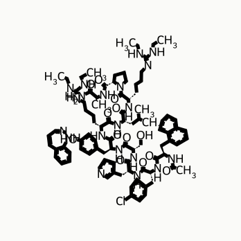 C1=Cc2ccccc2NN=C1.CCNC(=NCCCC[C@H](NC(=O)[C@H](CC(C)C)NC(=O)[C@@H](CCCCN=C(NCC)NCC)NC(=O)[C@H](Cc1ccc(O)cc1)NC(=O)[C@H](CO)NC(=O)[C@@H](Cc1cccnc1)NC(=O)[C@@H](Cc1ccc(Cl)cc1)NC(=O)[C@@H](Cc1cccc2ccccc12)NC(C)=O)C(=O)N1CCC[C@H]1C(=O)N[C@H](C)C(N)=O)NCC